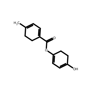 CC1=CC=C(C(=O)OC2=CC=C(O)CC2)CC1